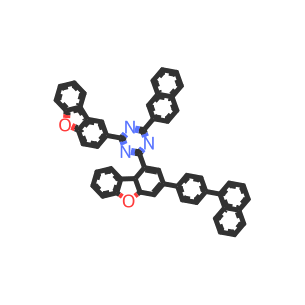 C1=C(c2ccc(-c3cccc4ccccc34)cc2)C=C(c2nc(-c3ccc4ccccc4c3)nc(-c3ccc4oc5ccccc5c4c3)n2)C2c3ccccc3OC12